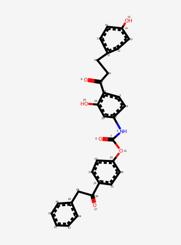 O=C(Nc1ccc(C(=O)CCc2ccc(O)cc2)c(O)c1)Oc1ccc(C(=O)Cc2ccccc2)cc1